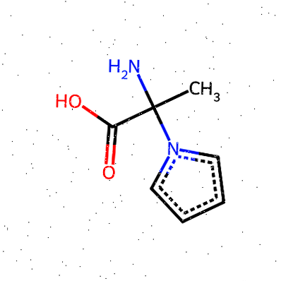 CC(N)(C(=O)O)n1cccc1